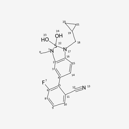 CN1c2cc(-c3c(F)cccc3C#N)ccc2N(CC2CC2)S1(O)O